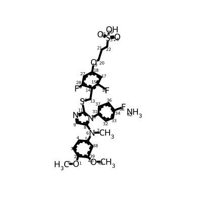 COc1ccc(N(C)c2cnc(SCc3c(F)cc(OCCCS(=O)(=O)O)cc3F)n2-c2ccc(F)cc2)cc1OC.N